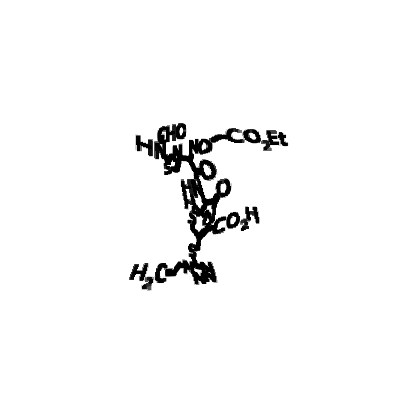 C=CCn1nnnc1SCC1=C(C(=O)O)N2C(=O)C(NC(=O)/C(=N\OCC(=O)OCC)c3csc(NC=O)n3)[C@H]2SC1